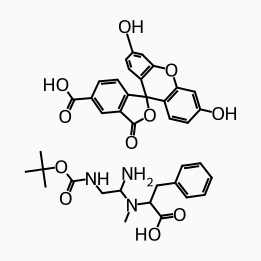 CN(C(N)CNC(=O)OC(C)(C)C)C(Cc1ccccc1)C(=O)O.O=C(O)c1ccc2c(c1)C(=O)OC21c2ccc(O)cc2Oc2cc(O)ccc21